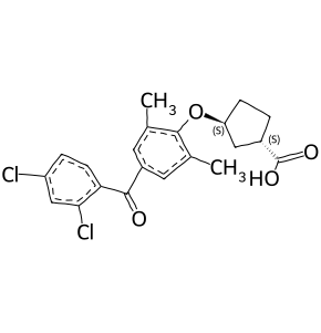 Cc1cc(C(=O)c2ccc(Cl)cc2Cl)cc(C)c1O[C@H]1CC[C@H](C(=O)O)C1